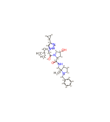 CC(C)(C)[C@@H](C(=O)N1CC(O)CC1C(=O)NCC1(C)CCCN1Cc1ccccc1)n1cc(C2CC2)nn1